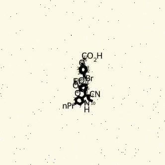 CCCC1CC(=O)C2=C(C1)NC(C)=C(C#N)C2c1ccc(OC(Br)c2ccc(OCC(=O)O)cc2)c(OCC)c1